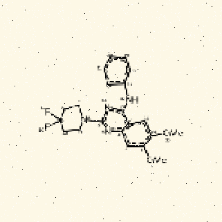 COc1cc2nc(N3CCC(F)(F)CC3)nc(Nc3ccccc3)c2cc1OC